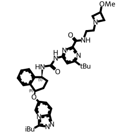 CCC(C)c1nnc2ccc(O[C@@H]3CC[C@H](NC(=O)Nc4cc(C(C)(C)C)nc(C(=O)NCCN5CC(OC)C5)n4)c4ccccc43)cn12